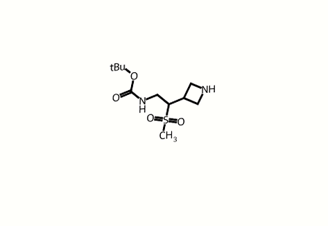 CC(C)(C)OC(=O)NCC(C1CNC1)S(C)(=O)=O